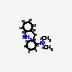 CN(C)c1ccccc1Cc1ccccc1N